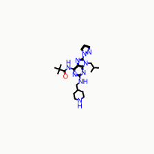 CC(C)Cn1c(-n2cccn2)nc2c(NC(=O)C(C)(C)C)nc(NCC3CCNCC3)nc21